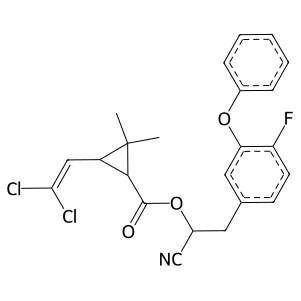 CC1(C)C(C=C(Cl)Cl)C1C(=O)OC(C#N)Cc1ccc(F)c(Oc2ccccc2)c1